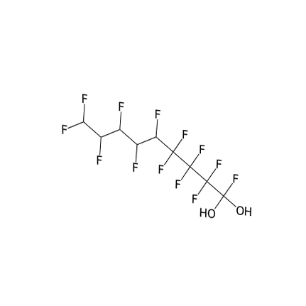 OC(O)(F)C(F)(F)C(F)(F)C(F)(F)C(F)C(F)C(F)C(F)C(F)F